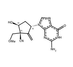 C=C1[C@@H](n2cnc3c(=O)[nH]c(N)nc32)C[C@H](O)[C@@]1(C#N)COC